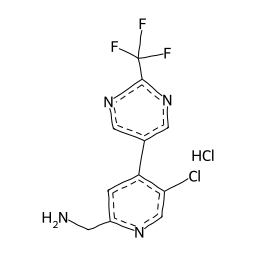 Cl.NCc1cc(-c2cnc(C(F)(F)F)nc2)c(Cl)cn1